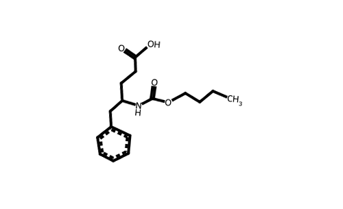 CCCCOC(=O)NC(CCC(=O)O)Cc1ccccc1